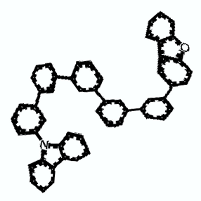 c1cc(-c2cccc(-c3cccc(-c4ccc5oc6ccccc6c5c4)c3)c2)cc(-c2cccc(-c3cccc(-n4c5ccccc5c5ccccc54)c3)c2)c1